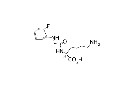 NCCCC[C@H](NC(=O)CNc1ccccc1F)C(=O)O